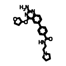 Nc1nc(OC2CCOC2)c2cc(-c3ccc(C(=O)NCCN4CCCC4)cc3)ccc2n1